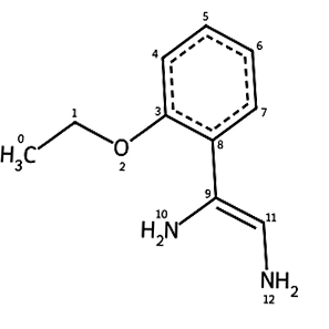 CCOc1ccccc1/C(N)=C/N